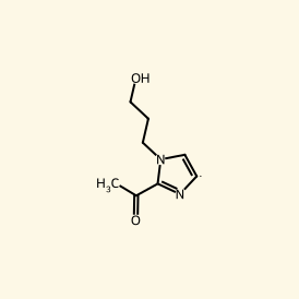 CC(=O)c1n[c]cn1CCCO